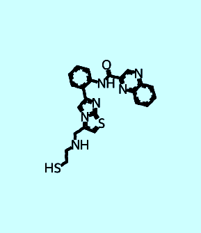 O=C(Nc1ccccc1-c1cn2c(CNCCS)csc2n1)c1cnc2ccccc2n1